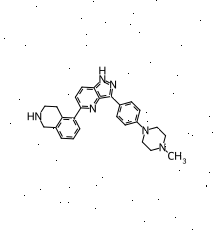 CN1CCN(c2ccc(-c3n[nH]c4ccc(-c5cccc6c5CCNC6)nc34)cc2)CC1